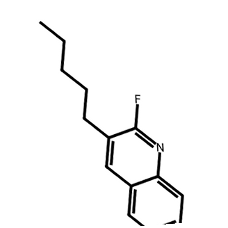 CCCCCc1cc2ccccc2nc1F